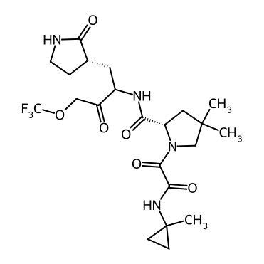 CC1(C)C[C@@H](C(=O)NC(C[C@@H]2CCNC2=O)C(=O)COC(F)(F)F)N(C(=O)C(=O)NC2(C)CC2)C1